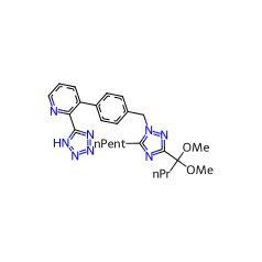 CCCCCc1nc(C(CCC)(OC)OC)nn1Cc1ccc(-c2cccnc2-c2nnn[nH]2)cc1